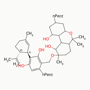 C=C(C)[C@@H]1CCC(C)=C[C@H]1c1c(O)cc(CCCCC)c(COC2(C)CCC3C(C4C(O)CC(CCCCC)CC4OC3(C)C)C2O)c1O